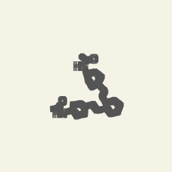 CC(=O)Nc1ccc(C=Cc2ccccc2C=Cc2ccc(NC(C)=O)cc2)cc1